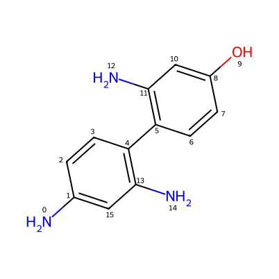 Nc1ccc(-c2ccc(O)cc2N)c(N)c1